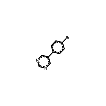 Brc1[c]cc(-c2cncnc2)cc1